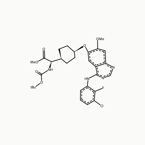 COC(=O)[C@H](NC(=O)OC(C)(C)C)[C@H]1CC[C@@H](Oc2cc3c(Nc4cccc(Cl)c4F)ncnc3cc2OC)CC1